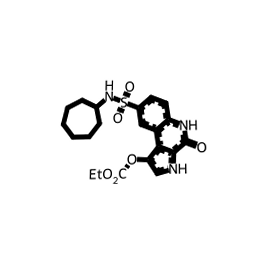 CCOC(=O)Oc1c[nH]c2c(=O)[nH]c3ccc(S(=O)(=O)NC4CCCCCC4)cc3c12